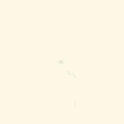 CS(=O)(=O)c1ccc([C@@H](CC2CCCC2)C(=O)Nc2ccn(CCCCO)n2)cc1Cl